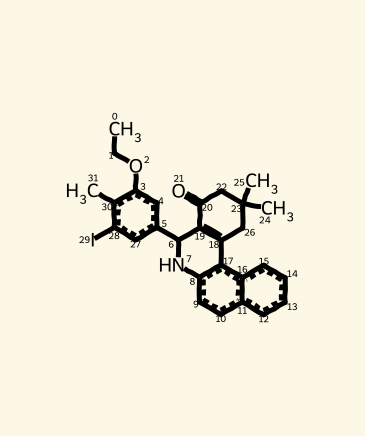 CCOc1cc(C2Nc3ccc4ccccc4c3C3=C2C(=O)CC(C)(C)C3)cc(I)c1C